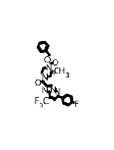 C[C@H]1CN(C(=O)c2cn3nc(-c4ccc(F)cc4)cc(C(F)(F)F)c3n2)CCN1C(=O)OCc1ccccc1